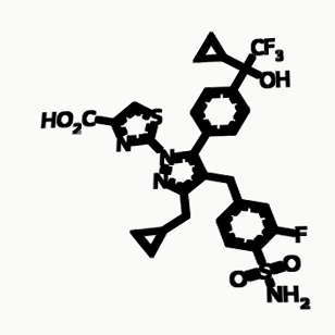 NS(=O)(=O)c1ccc(Cc2c(CC3CC3)nn(-c3nc(C(=O)O)cs3)c2-c2ccc(C(O)(C3CC3)C(F)(F)F)cc2)cc1F